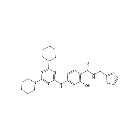 O=C(NCc1ccco1)c1ccc(Nc2nc(C3CCCCC3)nc(N3CCCCC3)n2)cc1O